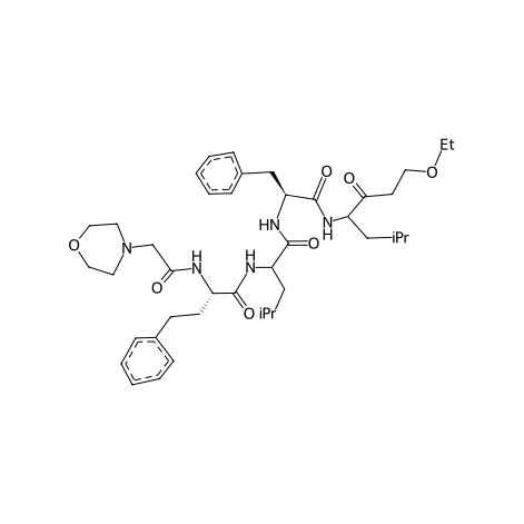 CCOCCC(=O)C(CC(C)C)NC(=O)[C@H](Cc1ccccc1)NC(=O)C(CC(C)C)NC(=O)[C@H](CCc1ccccc1)NC(=O)CN1CCOCC1